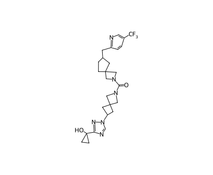 O=C(N1CC2(CCC(Cc3ccc(C(F)(F)F)cn3)C2)C1)N1CC2(CC(n3cnc(C4(O)CC4)n3)C2)C1